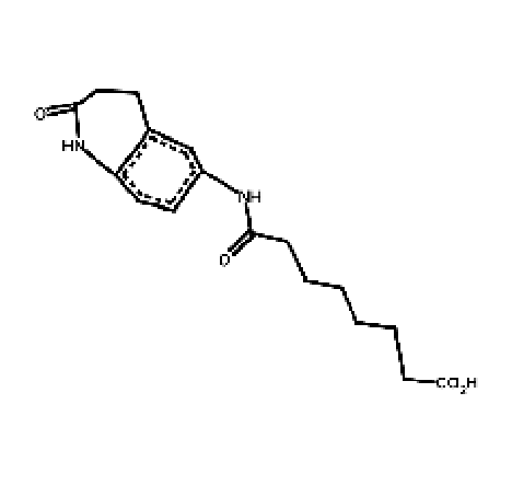 O=C(O)CCCCCCC(=O)Nc1ccc2c(c1)CCC(=O)N2